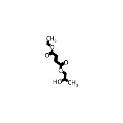 CCOC(=O)/C=C/C(=O)OCC(C)O